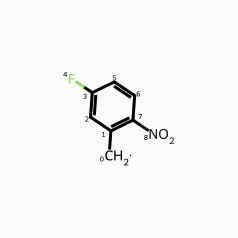 [CH2]c1cc(F)ccc1[N+](=O)[O-]